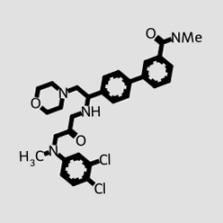 CNC(=O)c1cccc(-c2ccc(C(CN3CCOCC3)NCC(=O)CN(C)c3ccc(Cl)c(Cl)c3)cc2)c1